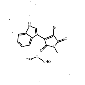 CC(C)(C)OC=O.CN1C(=O)C(Br)=C(c2c[nH]c3ccccc23)C1=O